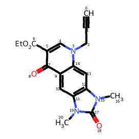 C#CCn1cc(C(=O)OCC)c(=O)c2cc3c(cc21)n(C)c(=O)n3C